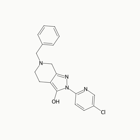 Oc1c2c(nn1-c1ccc(Cl)cn1)CN(Cc1ccccc1)CC2